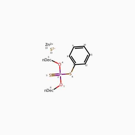 CCCCCCCCCCOP(=S)(OCCCCCCCCCC)Sc1ccccc1.[S-2].[Zn+2]